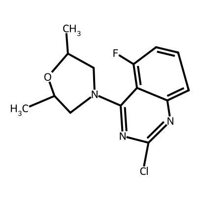 CC1CN(c2nc(Cl)nc3cccc(F)c23)CC(C)O1